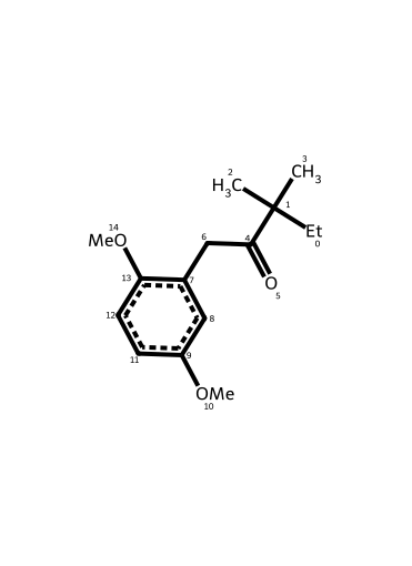 CCC(C)(C)C(=O)Cc1cc(OC)ccc1OC